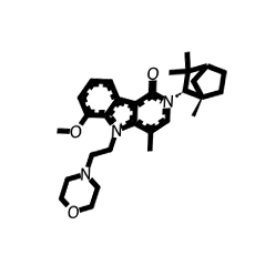 COc1cccc2c3c(=O)n([C@@H]4C(C)(C)C5CC[C@@]4(C)C5)cc(C)c3n(CCN3CCOCC3)c12